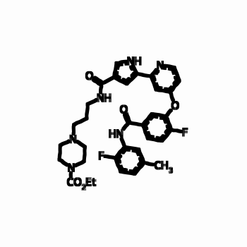 CCOC(=O)N1CCN(CCCNC(=O)c2c[nH]c(-c3cc(Oc4cc(C(=O)Nc5cc(C)ccc5F)ccc4F)ccn3)c2)CC1